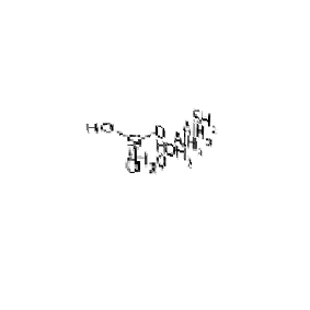 O.O.O=[Si](O)O.S.[AlH3].[AlH3]